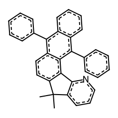 CC1(C)c2cccnc2-c2c1ccc1c(-c3ccccc3)c3ccccc3c(-c3ccccc3)c21